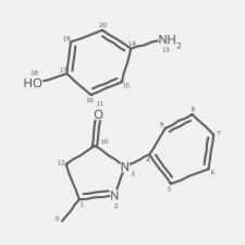 CC1=NN(c2ccccc2)C(=O)C1.Nc1ccc(O)cc1